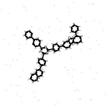 c1ccc(-c2ccc(-c3nc(-c4ccc(-c5ccc6ccccc6c5)cc4)nc(-c4ccc(-c5ccc6c(c5)oc5c(-c7ccccc7)cccc56)cc4)n3)cc2)cc1